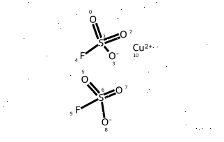 O=S(=O)([O-])F.O=S(=O)([O-])F.[Cu+2]